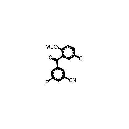 COc1ccc(Cl)cc1C(=O)c1cc(F)cc(C#N)c1